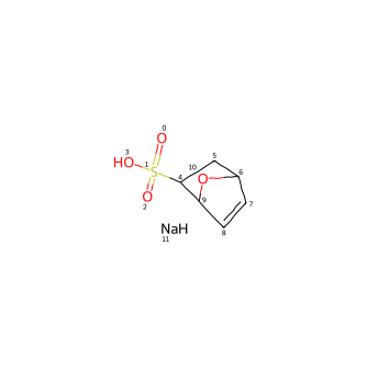 O=S(=O)(O)C1CC2C=CC1O2.[NaH]